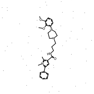 COc1cccc(N2CCN(CCCNC(=O)c3cc(-c4ccccc4)n(C)c3C)CC2)c1OC